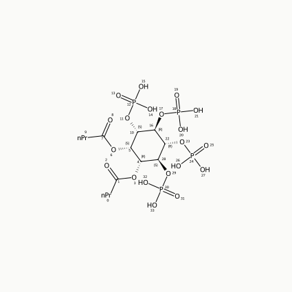 CCCC(=O)O[C@@H]1[C@H](OC(=O)CCC)[C@H](OP(=O)(O)O)[C@@H](OP(=O)(O)O)[C@H](OP(=O)(O)O)[C@H]1OP(=O)(O)O